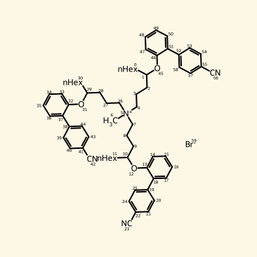 CCCCCCC(CCC[N+](C)(CCCC(CCCCCC)Oc1ccccc1-c1ccc(C#N)cc1)CCCC(CCCCCC)Oc1ccccc1-c1ccc(C#N)cc1)Oc1ccccc1-c1ccc(C#N)cc1.[Br-]